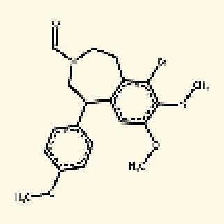 COc1ccc(C2CN(C=O)CCc3c2cc(OC)c(OC)c3Br)cc1